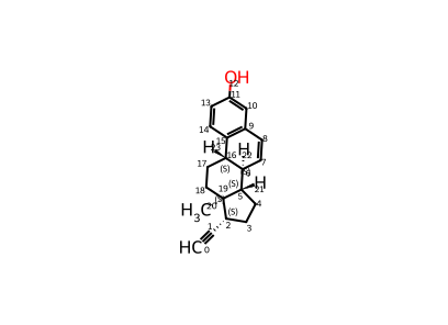 C#C[C@H]1CC[C@H]2[C@@H]3C=Cc4cc(O)ccc4[C@H]3CC[C@]12C